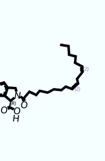 CCCCC/C=C\C/C=C\CCCCCCCC(=O)N1Cc2ccccc2[C@@H]1C(=O)O